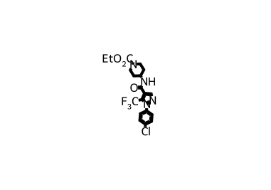 CCOC(=O)N1CCC(NC(=O)c2cnn(-c3ccc(Cl)cc3)c2C(F)(F)F)CC1